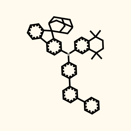 CC1(C)CCC(C)(C)c2cc(N(c3ccc(-c4cccc(-c5ccccc5)c4)cc3)c3ccc4c(c3)C3(c5ccccc5-4)C4CC5CC(C4)CC3C5)ccc21